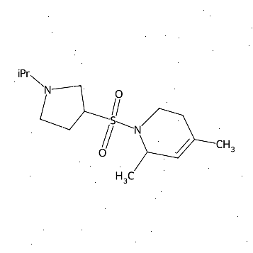 CC1=CC(C)N(S(=O)(=O)C2CCN(C(C)C)C2)CC1